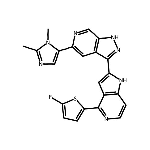 Cc1ncc(-c2cc3c(-c4cc5c(-c6ccc(F)s6)nccc5[nH]4)n[nH]c3cn2)n1C